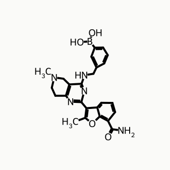 Cc1oc2c(C(N)=O)cccc2c1-c1nc2c(c(NCc3cccc(B(O)O)c3)n1)CN(C)CC2